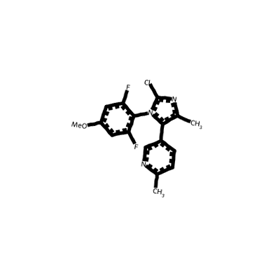 COc1cc(F)c(-n2c(Cl)nc(C)c2-c2ccc(C)nc2)c(F)c1